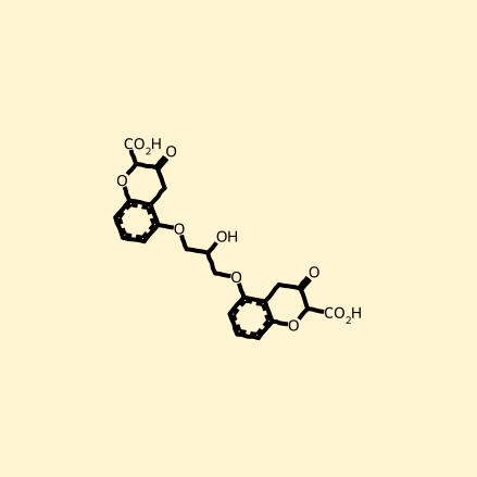 O=C(O)C1Oc2cccc(OCC(O)COc3cccc4c3CC(=O)C(C(=O)O)O4)c2CC1=O